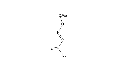 C=C(C=NOOC)CC